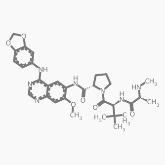 CN[C@@H](C)C(=O)N[C@H](C(=O)N1CCC[C@H]1C(=O)Nc1cc2c(Nc3ccc4c(c3)OCO4)ncnc2cc1OC)C(C)(C)C